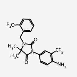 CC1(C)C(=O)N(c2ccc(N)c(C(F)(F)F)c2)C(=O)N1Cc1ccccc1C(F)(F)F